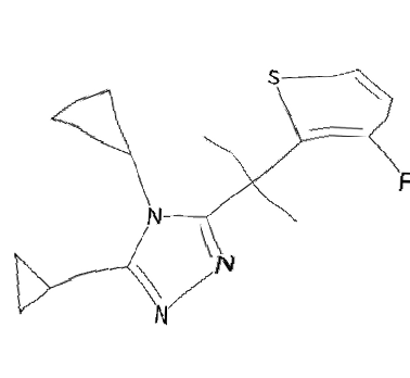 CC(C)(c1sccc1F)c1nnc(C2CC2)n1C1CC1